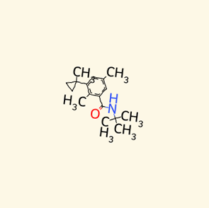 Cc1cc(C(=O)NC(C)(C)C)c(C)c(C2(C)CC2)c1